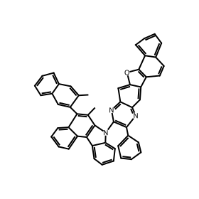 Cc1cc2ccccc2cc1-c1c(C)c2c(c3ccccc13)c1ccccc1n2-c1nc2cc3oc4c5ccccc5ccc4c3cc2nc1-c1ccccc1